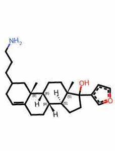 C[C@]12CC(CCCN)CC=C1CC[C@@H]1[C@H]2CC[C@@]2(C)[C@H]1CCC2(O)c1ccoc1